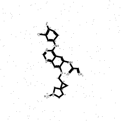 C=CC(=O)Nc1cc2c(Nc3ccc(F)c(Cl)c3)ncnc2cc1OCC1CC12CCN(C)C2